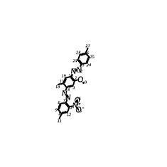 COc1cc(/N=N/c2ccc(C)cc2[N+](=O)[O-])c(C)cc1/N=N/c1ccc(C)cc1